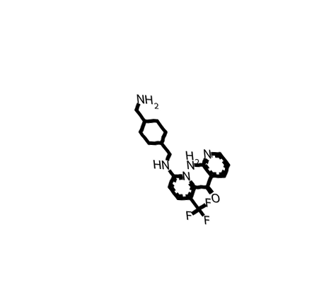 NCC1CCC(CNc2ccc(C(F)(F)F)c(C(=O)c3cccnc3N)n2)CC1